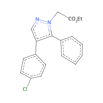 CCOC(=O)Cn1ncc(-c2ccc(Cl)cc2)c1-c1ccccc1